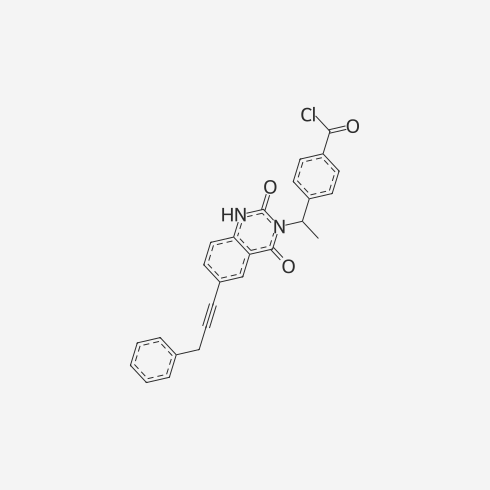 CC(c1ccc(C(=O)Cl)cc1)n1c(=O)[nH]c2ccc(C#CCc3ccccc3)cc2c1=O